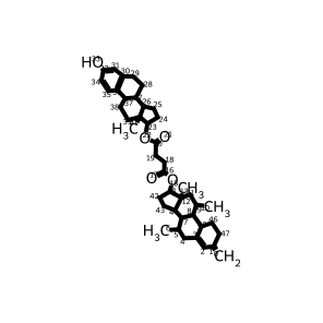 C=C1C=C2CC(C)C3C(C(C)CC4(C)C(OC(=O)CCC(=O)OC5CCC6C7CCc8cc(O)ccc8C7CCC56C)CCC34)C2CC1